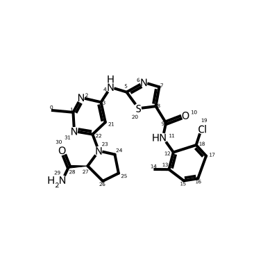 Cc1nc(Nc2ncc(C(=O)Nc3c(C)cccc3Cl)s2)cc(N2CCC[C@H]2C(N)=O)n1